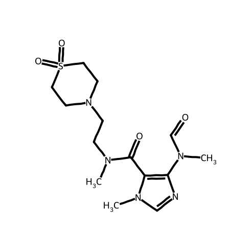 CN(CCN1CCS(=O)(=O)CC1)C(=O)c1c(N(C)C=O)ncn1C